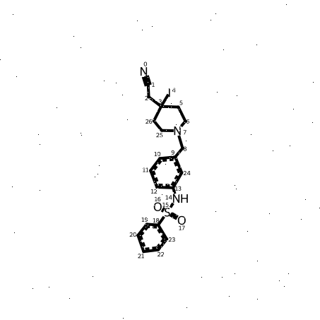 N#CCC1(I)CCN(Cc2cccc(NS(=O)(=O)c3ccccc3)c2)CC1